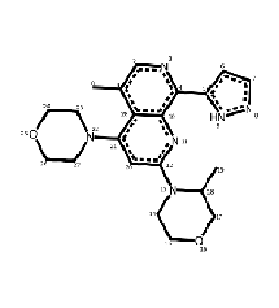 Cc1cnc(-c2ccn[nH]2)c2nc(N3CCOCC3C)cc(N3CCOCC3)c12